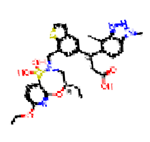 CCOc1ccc2c(n1)O[C@H](CC)CN(Cc1cc([C@H](CC(=O)O)c3ccc4c(nnn4C)c3C)cc3ccsc13)S2(O)O